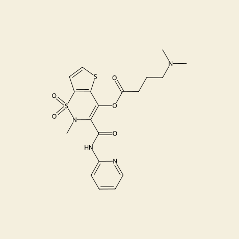 CN(C)CCCC(=O)OC1=C(C(=O)Nc2ccccn2)N(C)S(=O)(=O)c2ccsc21